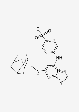 CS(=O)(=O)c1ccc(Nc2cc(NCC34CC5CC(CC(C5)C3)C4)nc3ncnn23)cc1